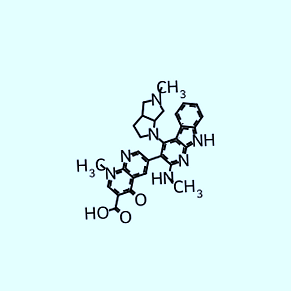 CNc1nc2[nH]c3ccccc3c2c(N2CCC3CN(C)CC32)c1-c1cnc2c(c1)c(=O)c(C(=O)O)cn2C